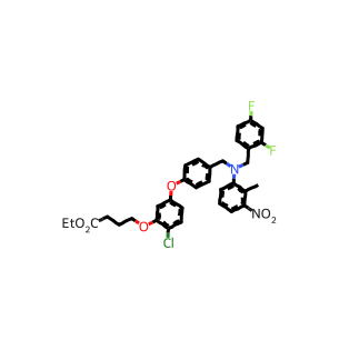 CCOC(=O)CCCOc1cc(Oc2ccc(CN(Cc3ccc(F)cc3F)c3cccc([N+](=O)[O-])c3C)cc2)ccc1Cl